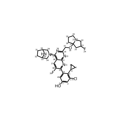 Oc1cc(Cl)c(C2CC2)c(-c2nc3nc(COC45CCCN4CC(F)C5)nc(N4CC5CCC(C4)N5)c3cc2F)c1